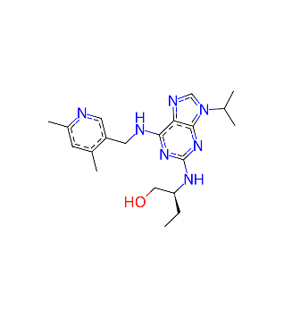 CC[C@@H](CO)Nc1nc(NCc2cnc(C)cc2C)c2ncn(C(C)C)c2n1